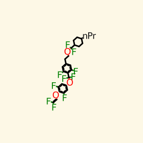 CCCC1CCC(C(F)(F)OCCc2cc(F)c(C(F)(F)Oc3cc(F)c(OC=C(F)F)c(F)c3)c(F)c2)CC1